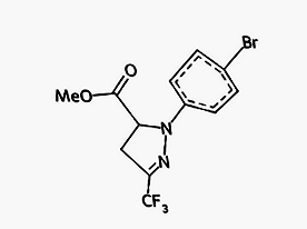 COC(=O)C1CC(C(F)(F)F)=NN1c1ccc(Br)cc1